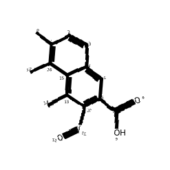 Cc1ccc2cc(C(=O)O)c(I=O)c(C)c2c1C